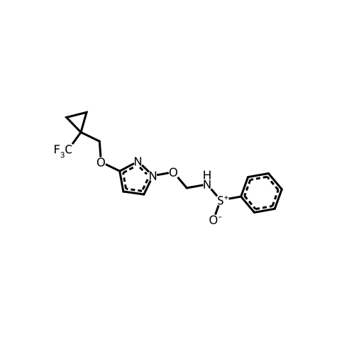 [O-][S+](NCOn1ccc(OCC2(C(F)(F)F)CC2)n1)c1ccccc1